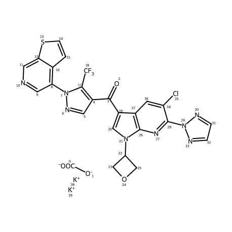 O=C([O-])[O-].O=C(c1cnn(-c2cncc3sccc23)c1C(F)(F)F)c1cn(C2COC2)c2nc(-n3nccn3)c(Cl)cc12.[K+].[K+]